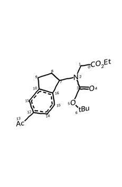 CCOC(=O)CN(C(=O)OC(C)(C)C)C1CCc2cc(C(C)=O)ccc21